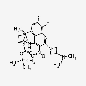 C=Cc1cc(Cl)c(F)c2nc(N3CC(N(C)C)C3)c([N+](=O)[O-])c(NC3C4CC3N(C(=O)OC(C)(C)C)C4)c12